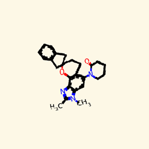 Cc1nc2c3c(c(N4CCCCC4=O)cc2n1C)CCC1(Cc2ccccc2C1)O3